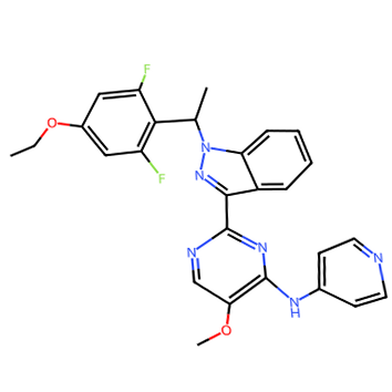 CCOc1cc(F)c(C(C)n2nc(-c3ncc(OC)c(Nc4ccncc4)n3)c3ccccc32)c(F)c1